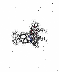 C=Cc1ccc(C2(c3ccc(C)cc3)c3ccccc3-c3ccc(N(c4ccc(-c5ccccc5)cc4)c4ccc5c(c4)C4(c6ccccc6-5)c5ccccc5-c5ccc(N(c6ccc(-c7ccccc7)cc6)c6ccc7c(c6)C(c6ccc(C)cc6)(c6ccc(C=C)cc6)c6ccccc6-7)cc54)cc32)cc1